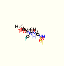 [CH2]CC(O)CC(O)CCn1c(-c2ccc(F)cc2)nc(C(=O)NCc2ccc(NC[SH](=O)=O)cc2)c1C(C)C